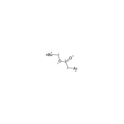 [CH2]CCCCOC(=O)CC(C)=O